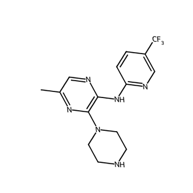 Cc1cnc(Nc2ccc(C(F)(F)F)cn2)c(N2CCNCC2)n1